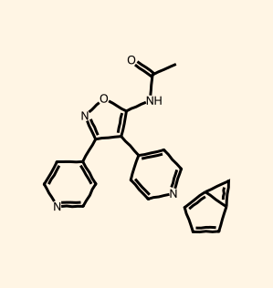 CC(=O)Nc1onc(-c2ccncc2)c1-c1ccncc1.c1cc2cc-2c1